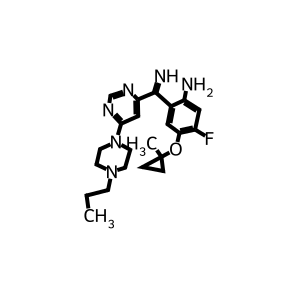 CCCN1CCN(c2cc(C(=N)c3cc(OC4(C)CC4)c(F)cc3N)ncn2)CC1